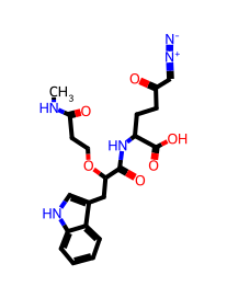 CNC(=O)CCOC(Cc1c[nH]c2ccccc12)C(=O)NC(CCC(=O)C=[N+]=[N-])C(=O)O